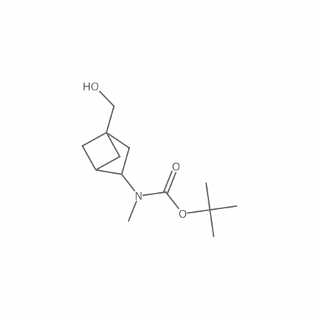 CN(C(=O)OC(C)(C)C)C1CC2(CO)CC1C2